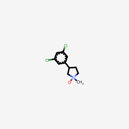 C[N+]1([O-])CCC(c2cc(Cl)cc(Cl)c2)C1